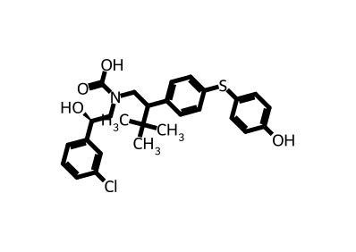 CC(C)(C)C(CN(C[C@H](O)c1cccc(Cl)c1)C(=O)O)c1ccc(Sc2ccc(O)cc2)cc1